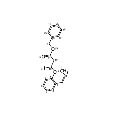 C/C=C\c1ccccc1OC(I)CC(=O)OCc1ccccc1